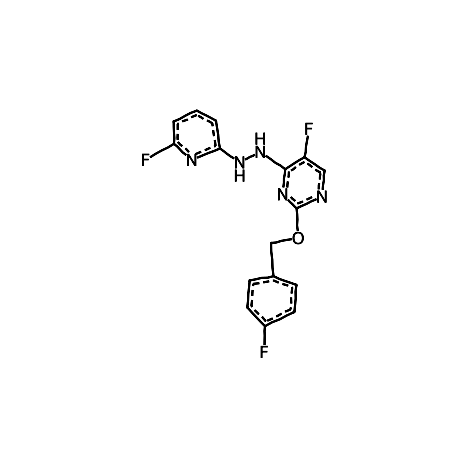 Fc1ccc(COc2ncc(F)c(NNc3cccc(F)n3)n2)cc1